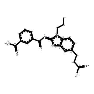 CCCn1/c(=N/C(=O)c2cccc(C(N)=O)c2)[nH]c2cc(CCC(=O)O)ccc21